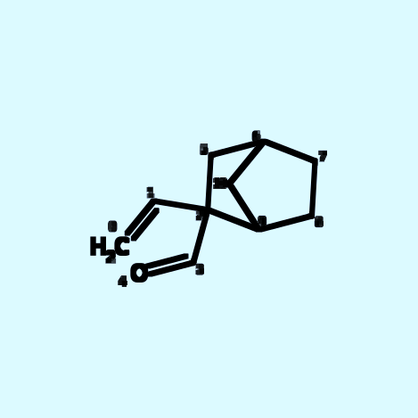 C=CC1(C=O)CC2CCC1C2